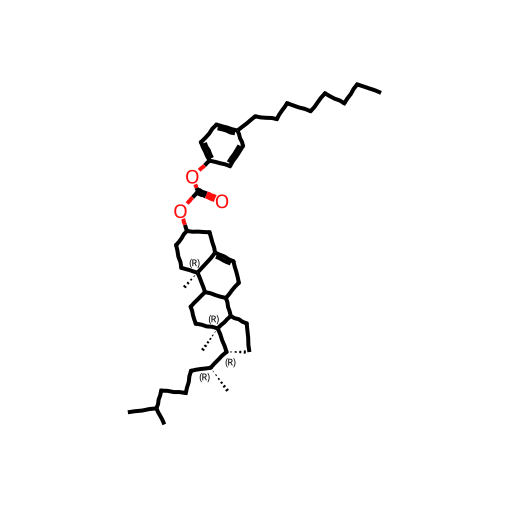 CCCCCCCCc1ccc(OC(=O)OC2CC[C@@]3(C)C(=CCC4C3CC[C@@]3(C)C4CC[C@@H]3[C@H](C)CCCC(C)C)C2)cc1